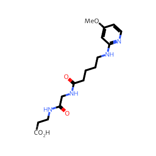 COc1ccnc(NCCCCC(=O)NCC(=O)NCCC(=O)O)c1